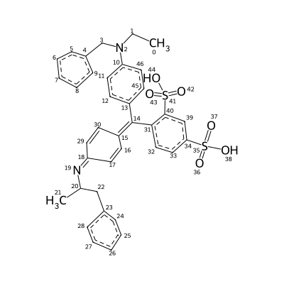 CCN(Cc1ccccc1)c1ccc(C(=C2C=CC(=NC(C)Cc3ccccc3)C=C2)c2ccc(S(=O)(=O)O)cc2S(=O)(=O)O)cc1